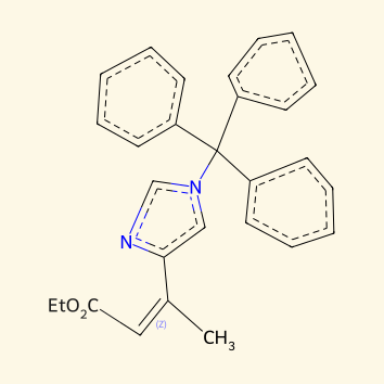 CCOC(=O)/C=C(/C)c1cn(C(c2ccccc2)(c2ccccc2)c2ccccc2)cn1